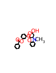 CN(c1ccccc1)C(CC(=O)O)C(=O)Oc1cccc(OC(=O)c2ccccc2)c1